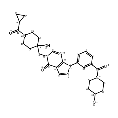 O=C(c1cccc(-n2ncc3c(=O)n(CC4(O)CCN(C(=O)C5CC5)CC4)cnc32)c1)N1CCC(O)CC1